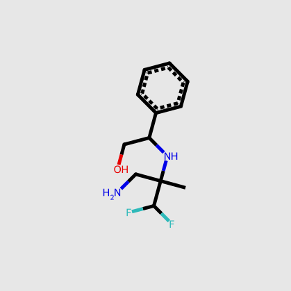 CC(CN)(NC(CO)c1ccccc1)C(F)F